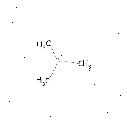 CI(C)C